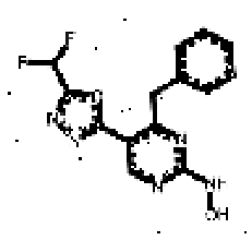 ONc1ncc(-c2nnc(C(F)F)o2)c(Cc2ccccc2)n1